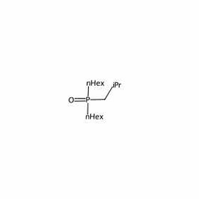 CCCCCCP(=O)(CCCCCC)CC(C)C